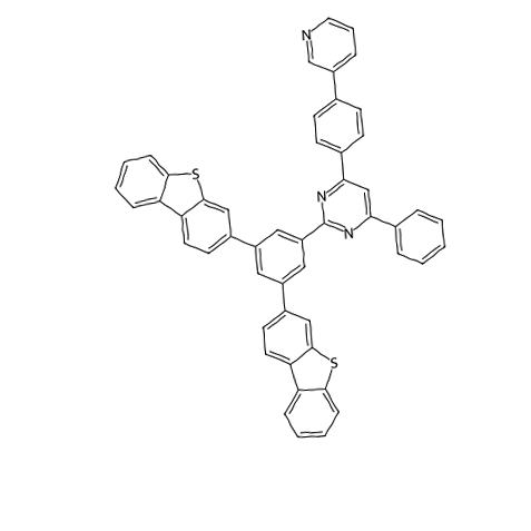 c1ccc(-c2cc(-c3ccc(-c4cccnc4)cc3)nc(-c3cc(-c4ccc5c(c4)sc4ccccc45)cc(-c4ccc5c(c4)sc4ccccc45)c3)n2)cc1